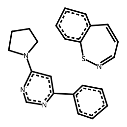 C1=Cc2ccccc2SN=C1.c1ccc(-c2cc(N3CCCC3)ncn2)cc1